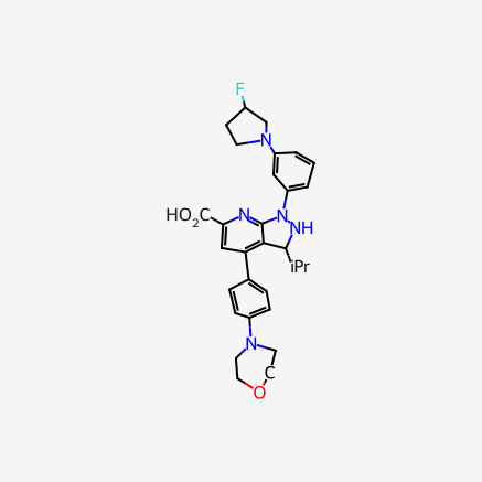 CC(C)C1NN(c2cccc(N3CCC(F)C3)c2)c2nc(C(=O)O)cc(-c3ccc(N4CCOCC4)cc3)c21